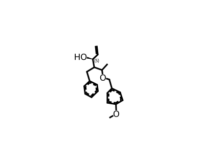 C=C[C@H](O)C(Cc1ccccc1)C(C)OCc1ccc(OC)cc1